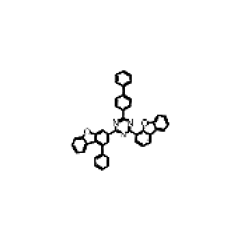 c1ccc(-c2ccc(-c3nc(-c4cc(-c5ccccc5)c5c(c4)oc4ccccc45)nc(-c4cccc5c4oc4ccccc45)n3)cc2)cc1